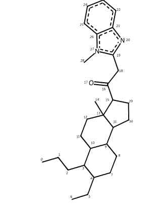 CCCC1C(CC)CCC2C1CCC1(C)C(C(=O)Cc3nc4ccccc4n3C)CCC21